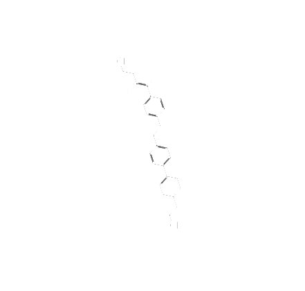 CCC/C(F)=C(\F)c1ccc(CCc2ccc(C3=CCC(CCC)CC3)cc2)cc1